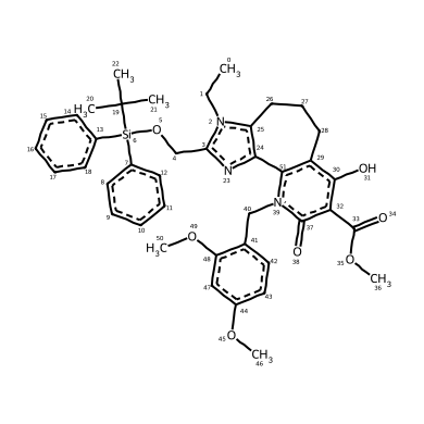 CCn1c(CO[Si](c2ccccc2)(c2ccccc2)C(C)(C)C)nc2c1CCCc1c(O)c(C(=O)OC)c(=O)n(Cc3ccc(OC)cc3OC)c1-2